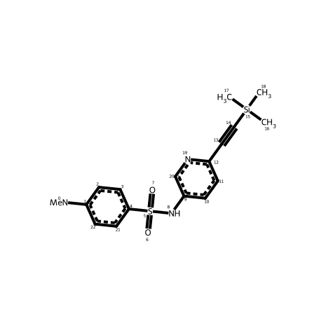 CNc1ccc(S(=O)(=O)Nc2ccc(C#C[Si](C)(C)C)nc2)cc1